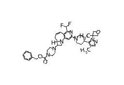 Cc1cnn(C2(C)COC2)c1C1CCN(c2cc3c(c(C(F)F)n2)C=CC[C@H]2[C@H](N4CCN(C(=O)OCc5ccccc5)CC4)CN32)CC1